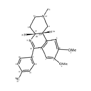 COc1cc2c(cc1OC)[C@H]1CN(C)CC[C@H]1N=C2c1ccc(C#N)cc1